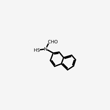 O=CN(S)c1ccc2ccccc2c1